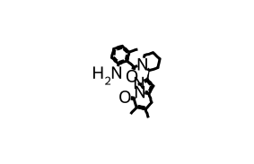 CC1=C(C)C(=O)n2nc([C@@H]3CCCCN3C(=O)c3c(C)cccc3N)cc2C1